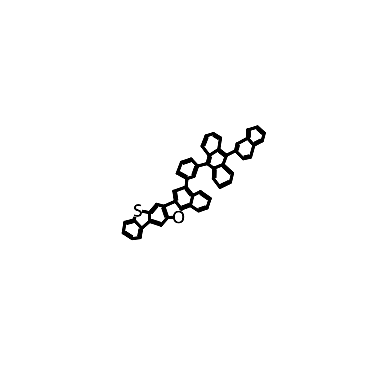 c1cc(-c2c3ccccc3c(-c3ccc4ccccc4c3)c3ccccc23)cc(-c2cc3c4cc5sc6ccccc6c5cc4oc3c3ccccc23)c1